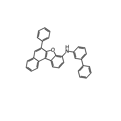 c1ccc(-c2cccc(Nc3cccc4c3oc3c(-c5ccccc5)cc5ccccc5c34)c2)cc1